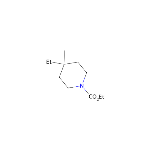 CCOC(=O)N1CCC(C)(CC)CC1